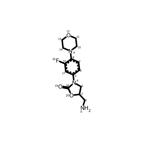 NCC1CN(c2ccc(N3CCOCC3)c(F)c2)C(=O)O1